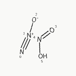 N#[N+][O-].O=NO